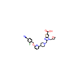 N#Cc1ccc(COc2cccc(C3CCN(Cc4nc5sc(C(=O)O)cc5n4CC4CCO4)CC3)n2)c(F)c1